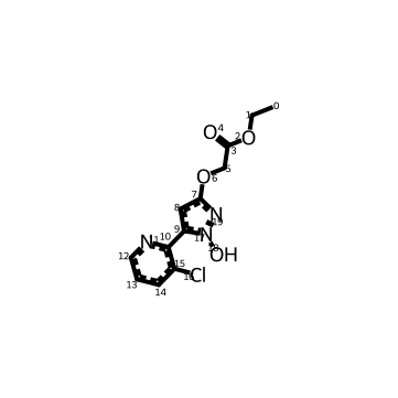 CCOC(=O)COc1cc(-c2ncccc2Cl)n(O)n1